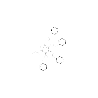 CCS[C@@H]1O[C@H](COCc2ccccc2)[C@H](OCc2ccccc2)[C@@H](OCc2ccccc2)[C@H]1OCc1ccccc1